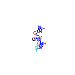 O=C(CN1CN(c2ccccc2)C2(CCN(C(=O)c3cnc4[nH]ncc4c3)CC2)C1=O)Nc1ccn(CC(F)(F)F)n1